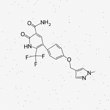 Cn1cc(COc2ccc(-c3cc(C(N)=O)c(=O)[nH]c3C(F)(F)F)cc2)cn1